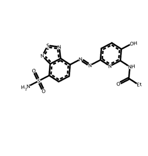 CCC(=O)Nc1nc(/N=N/c2ccc(S(N)(=O)=O)c3nsnc23)ccc1O